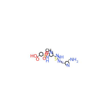 COc1ncc(-c2n[nH]/c(=N\C=C\c3cncc(CN)c3)s2)cc1NS(=O)(=O)c1cccc(C(=O)O)c1